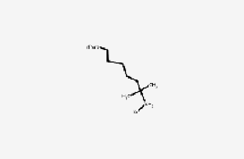 CCCCCCCCCCC(C)(C)[SiH2]Br